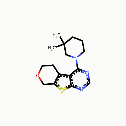 CC1(C)CCCN(c2ncnc3sc4c(c23)CCOC4)C1